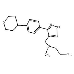 CCCN(C)Cc1c[nH]nc1-c1ccc(C2CCOCC2)cc1